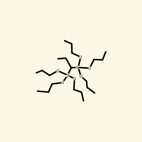 CCCO[Si](OCCC)(OCCC)C(CC)[Si](OCCC)(OCCC)OCCC